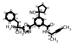 CC#C[C@@H](C)NC(=O)c1cc(-c2nnc([C@](C)(N)Cc3ccccc3)o2)cc(C2(C#N)CCCC2)c1